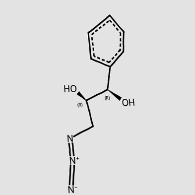 [N-]=[N+]=NC[C@@H](O)[C@H](O)c1ccccc1